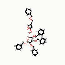 C1=C(COCc2ccccc2)CO[C@@H]1OC[C@H]1O[C@@H](OCc2ccccc2)[C@H](OCc2ccccc2)[C@@H](OCc2ccccc2)[C@@H]1OCc1ccccc1